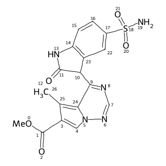 COC(=O)c1cn2ncnc(C3C(=O)Nc4ccc(S(N)(=O)=O)cc43)c2c1C